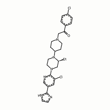 CC[C@H]1CN(c2ncc(-c3ncc[nH]3)cc2Cl)CCN1C1CCN(CC(=O)c2ccc(Cl)cc2)CC1